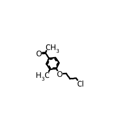 CC(=O)c1ccc(OCCCCl)c(C)c1